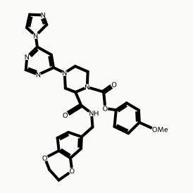 COc1ccc(OC(=O)N2CCN(c3cc(-n4ccnc4)ncn3)CC2C(=O)NCc2ccc3c(c2)OCCO3)cc1